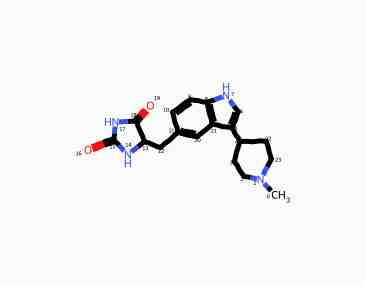 CN1CCC(c2c[nH]c3ccc(CC4NC(=O)NC4=O)cc23)CC1